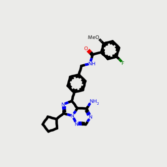 COc1ccc(F)cc1C(=O)NCc1ccc(C2N=C(C3CCCC3)N3N=CN=C(N)C23)cc1